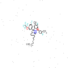 O=C(O)CCCCCC1=CCC(C[C@](NC(=O)c2ccc(F)c(C(F)(F)F)c2)(c2cc(F)cc(OC(F)(F)C(F)F)c2)c2ccc(F)c(C(F)(F)F)c2)C=C1